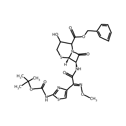 CON=C(C(=O)N[C@@H]1C(=O)N2C(C(=O)OCc3ccccc3)C(O)CS[C@@H]12)c1csc(NC(=O)OC(C)(C)C)n1